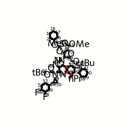 CCCSc1cc2c(nnn2[C@@H]2[C@@H](OC(=S)Oc3ccccc3)[C@H](C(OC)OC)O[C@H]2CO[Si](c2ccccc2)(c2ccccc2)C(C)(C)C)c(N(C(=O)OC(C)(C)C)[C@@H]2C[C@H]2c2ccc(F)c(F)c2)n1